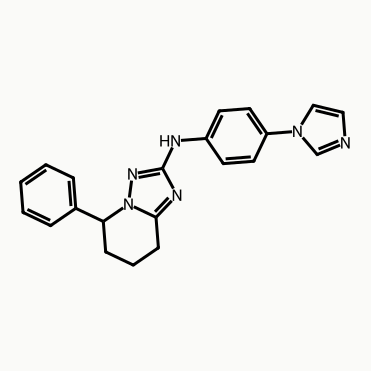 c1ccc(C2CCCc3nc(Nc4ccc(-n5ccnc5)cc4)nn32)cc1